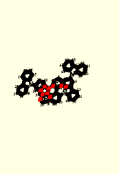 N#Cc1cccc(-n2c3ccccc3c3cc(-n4c5ccccc5c5ccccc54)ccc32)c1-c1c(-c2c(C(F)(F)F)cccc2C(F)(F)F)cccc1-n1c2ccccc2c2cc(-n3c4ccccc4c4ccccc43)ccc21